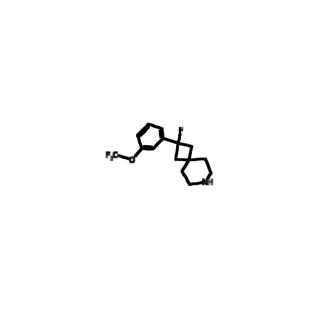 FC(F)(F)Oc1cccc(C2(F)CC3(CCNCC3)C2)c1